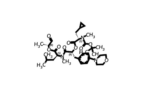 CC(C)C[C@@H](C(=O)O[C@H](C)C=O)N(C)C(=O)[C@@H](Cc1ccc(N2CCOCC2)cc1)OC(=O)[C@H](CC1CC1)N(C)C(=O)OC(C)(C)C